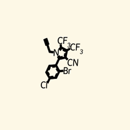 C#CCn1c(-c2ccc(Cl)cc2Br)c(C#N)c(C(F)(F)F)c1C(F)(F)F